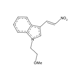 COCCn1cc(C=C[N+](=O)[O-])c2ccccc21